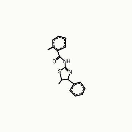 Cc1ccccc1C(=O)NC1=NC(c2ccccc2)C(C)S1